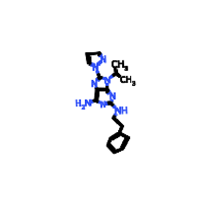 CC(C)n1c(-n2cccn2)nc2c(N)nc(NCCc3ccccc3)nc21